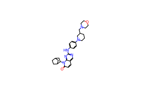 O=c1ccc2cnc(Nc3ccc(N4CCCC(CN5CCOCC5)C4)cc3)nc2n1C1CC2CCC1C2